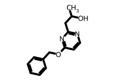 CC(O)Cc1nccc(OCc2ccccc2)n1